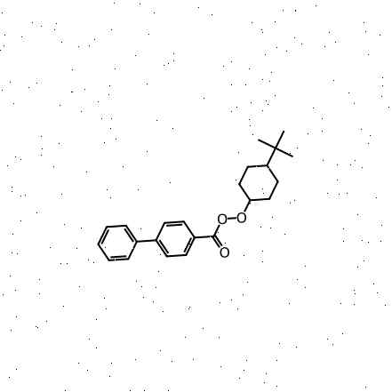 CC(C)(C)C1CC[C](OOC(=O)c2ccc(-c3ccccc3)cc2)CC1